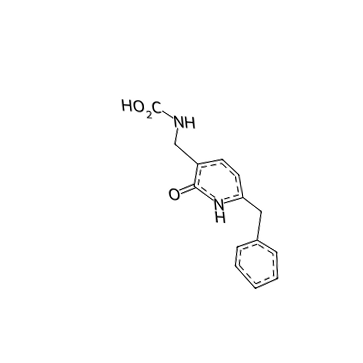 O=C(O)NCc1ccc(Cc2ccccc2)[nH]c1=O